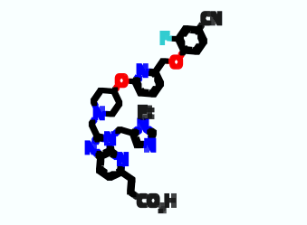 CCn1cncc1Cn1c(CN2CCC(Oc3cccc(COc4ccc(C#N)cc4F)n3)CC2)nc2ccc(/C=C/C(=O)O)nc21